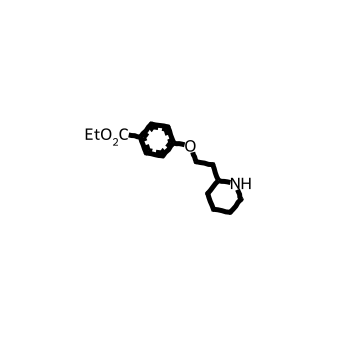 CCOC(=O)c1ccc(OCCC2CCCCN2)cc1